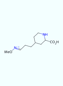 CO/N=C/CCC1CCNC(C(=O)O)C1